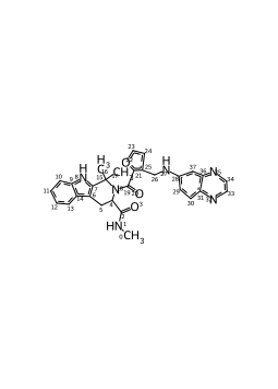 CNC(=O)C1Cc2c([nH]c3ccccc23)C(C)(C)N1C(=O)c1occc1CNc1ccc2nccnc2c1